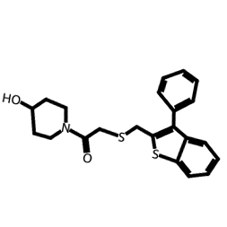 O=C(CSCc1sc2ccccc2c1-c1ccccc1)N1CCC(O)CC1